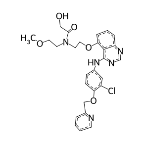 COCCN(CCOc1cccc2ncnc(Nc3ccc(OCc4ccccn4)c(Cl)c3)c12)C(=O)CO